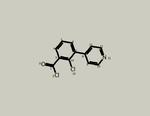 O=C(Cl)c1cccc(-c2ccncc2)c1Cl